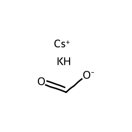 O=C[O-].[Cs+].[KH]